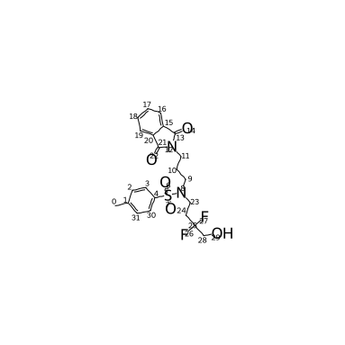 Cc1ccc(S(=O)(=O)N(CCCN2C(=O)c3ccccc3C2=O)CCC(F)(F)CO)cc1